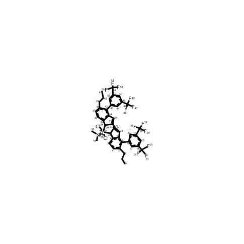 CCCc1ccc2c(c1-c1cc(C(F)(F)F)cc(C(F)(F)F)c1)C=C(C)[CH]2[Zr]([Cl])([Cl])([CH]1C(C)=Cc2c1ccc(CCC)c2-c1cc(C(F)(F)F)cc(C(F)(F)F)c1)[SiH](C)C